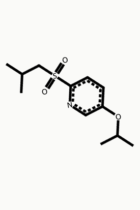 CC(C)CS(=O)(=O)c1ccc(OC(C)C)cn1